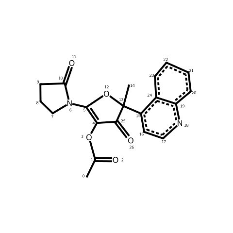 CC(=O)OC1=C(N2CCCC2=O)OC(C)(c2ccnc3ccccc23)C1=O